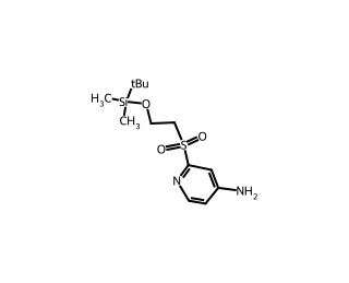 CC(C)(C)[Si](C)(C)OCCS(=O)(=O)c1cc(N)ccn1